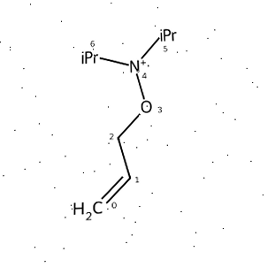 C=CCO[N+](C(C)C)C(C)C